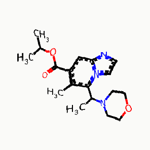 Cc1c(C(=O)OC(C)C)cc2nccn2c1C(C)N1CCOCC1